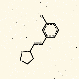 Clc1cccc(C=CC2CCCO2)c1